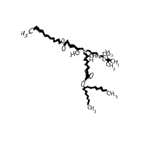 CCCCCCCCCCCOC(=O)CCCC(O)CN(CCCNC(=O)OC(C)(C)C)CC(O)CCCCCC(=O)OC(CCCCCCCC)CCCCCCCC